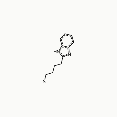 [S]CCCCc1nc2ccccc2[nH]1